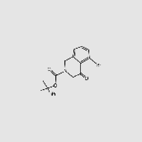 CCCC(C)(C)OC(=O)N1CC(=O)c2c(Br)cccc2C1